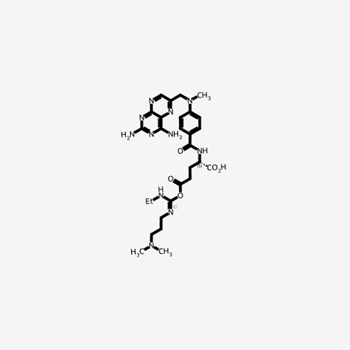 CCN/C(=N\CCCN(C)C)OC(=O)CC[C@H](NC(=O)c1ccc(N(C)Cc2cnc3nc(N)nc(N)c3n2)cc1)C(=O)O